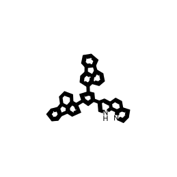 C1=Cc2c(-c3cc(C4=CNC5C(=C4)C=Cc4cccnc45)cc(-c4ccc5c6c(cccc46)-c4ccccc4-5)c3)ccc3c2C(C1)c1ccccc1-3